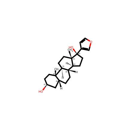 C[C@]12CC[C@H](O)C[C@H]1CC[C@@H]1[C@@H]2CC[C@@]2(C)[C@H]1CC[C@@]2(O)c1ccoc1